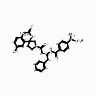 CN(C(=O)O)c1ccc(C(=O)N[C@H](CC(=O)N2CCC3(C2)OC(=O)Nc2ccc(Cl)cc23)Cc2ccccc2)cc1